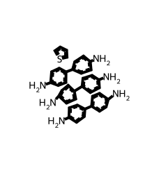 Nc1ccc(-c2ccc(N)cc2)cc1.Nc1ccc(-c2ccc(N)cc2)cc1.Nc1ccc(-c2ccc(N)cc2)cc1.c1ccsc1